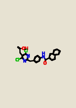 C=C(O)Cc1c(Cl)nc(Cc2ccc(NC(=O)c3ccc4ccccc4c3)cc2)nc1Cl